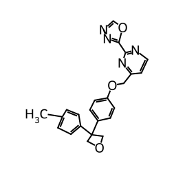 Cc1ccc(C2(c3ccc(OCc4ccnc(-c5nnco5)n4)cc3)COC2)cc1